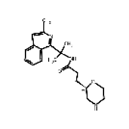 Cc1cc2ccccc2c(C(C)(C)NC(=O)CC[C@@H]2CNCCO2)n1